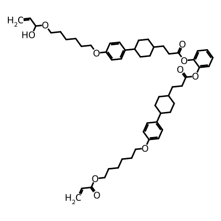 C=CC(=O)OCCCCCCOc1ccc(C2CCC(CCC(=O)Oc3ccccc3OC(=O)CCC3CCC(c4ccc(OCCCCCCOC(O)C=C)cc4)CC3)CC2)cc1